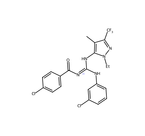 CCn1nc(C(F)(F)F)c(C)c1N/C(=N\C(=O)c1ccc(Cl)cc1)Nc1cccc(Cl)c1